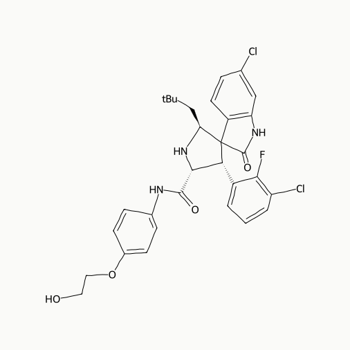 CC(C)(C)C[C@@H]1N[C@@H](C(=O)Nc2ccc(OCCO)cc2)[C@@H](c2cccc(Cl)c2F)C12C(=O)Nc1cc(Cl)ccc12